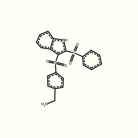 NCc1ccc(S(=O)(=O)c2c(S(=O)(=O)c3ccccc3)[nH]c3ccccc23)cc1